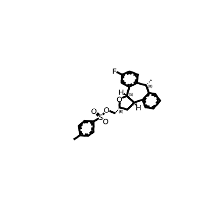 Cc1ccc(S(=O)(=O)OC[C@H]2C[C@@H]3c4ccccc4[C@@H](C)c4ccc(F)cc4[C@H]3O2)cc1